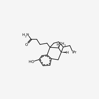 CC(C)CC1CCC2(CCCC(N)=O)c3cc(O)ccc3C[C@@H]1[C@@H]2C